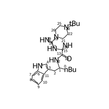 CCCCC(Cc1c[nH]c2ccccc12)NC(=O)C(=N)NC(=N)N1CCN(C(C)(C)C)CC1